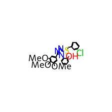 COc1cc(-c2nnc(SCc3cccc(Cl)c3)n2-c2ccccc2O)cc(OC)c1OC